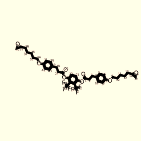 O=C(CCc1ccc(OCCCCCC2CO2)cc1)Oc1ccc(OC(=O)CCc2ccc(OCCCCCC3CO3)cc2)c(C(F)(F)F)c1C(F)(F)F